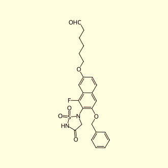 O=CCCCCCOc1ccc2cc(OCc3ccccc3)c(N3CC(=O)NS3(=O)=O)c(F)c2c1